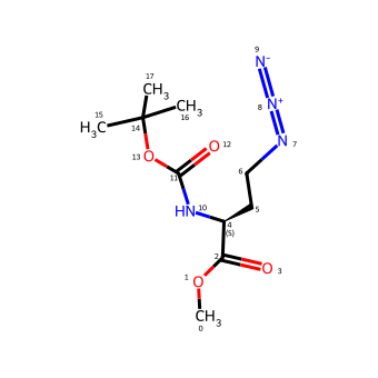 COC(=O)[C@H](CCN=[N+]=[N-])NC(=O)OC(C)(C)C